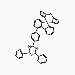 c1ccc(-c2nc(-c3ccccc3)nc(-c3ccc(-c4cccc5c4-c4ccccc4C54c5ccccc5Sc5ccccc54)cc3)n2)cc1